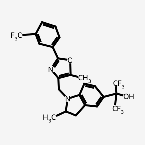 Cc1oc(-c2cccc(C(F)(F)F)c2)nc1CN1c2ccc(C(O)(C(F)(F)F)C(F)(F)F)cc2CC1C